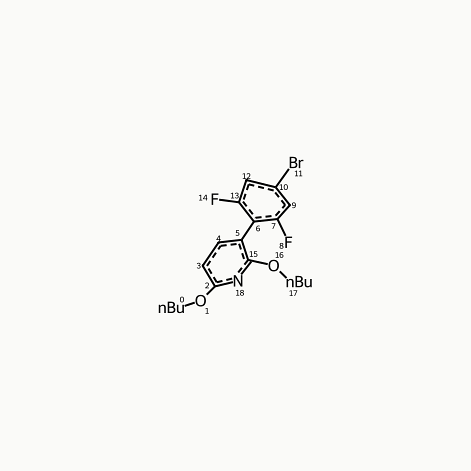 CCCCOc1ccc(-c2c(F)cc(Br)cc2F)c(OCCCC)n1